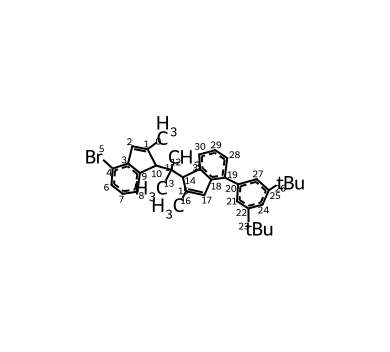 CC1=Cc2c(Br)cccc2C1C(C)(C)C1C(C)=Cc2c(-c3cc(C(C)(C)C)cc(C(C)(C)C)c3)cccc21